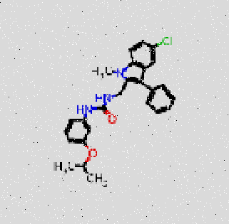 CC(C)Oc1cccc(NC(=O)NCc2c(-c3ccccc3)c3cc(Cl)ccc3n2C)c1